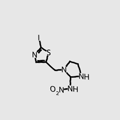 O=[N+]([O-])NC1NCCN1Cc1cnc(I)s1